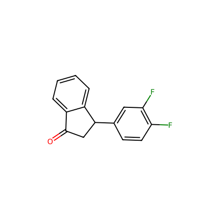 O=C1CC(c2ccc(F)c(F)c2)c2ccccc21